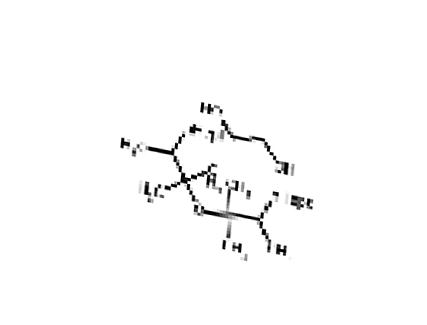 CCCCCCCC(C)C(C)(C)OC(C)(C)C(C)CCCCCCC.OCCO